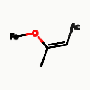 CC(=O)/C=C(/C)[O][Fe]